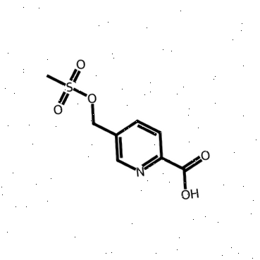 CS(=O)(=O)OCc1ccc(C(=O)O)nc1